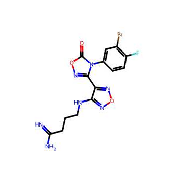 N=C(N)CCCNc1nonc1-c1noc(=O)n1-c1ccc(F)c(Br)c1